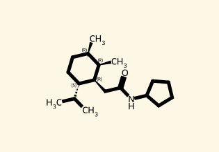 CC(C)[C@@H]1CC[C@@H](C)[C@@H](C)[C@H]1CC(=O)NC1CCCC1